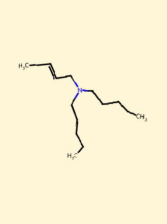 CC=CCN(CCCCC)CCCCC